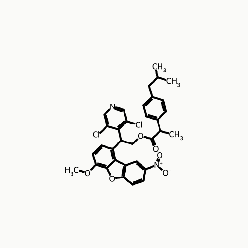 COc1ccc(C(COC(=O)C(C)c2ccc(CC(C)C)cc2)c2c(Cl)cncc2Cl)c2c1oc1ccc([N+](=O)[O-])cc12